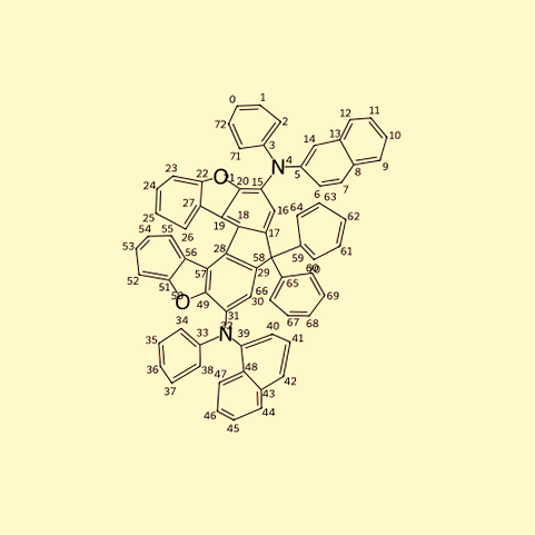 c1ccc(N(c2ccc3ccccc3c2)c2cc3c(c4c2oc2ccccc24)-c2c(cc(N(c4ccccc4)c4cccc5ccccc45)c4oc5ccccc5c24)C3(c2ccccc2)c2ccccc2)cc1